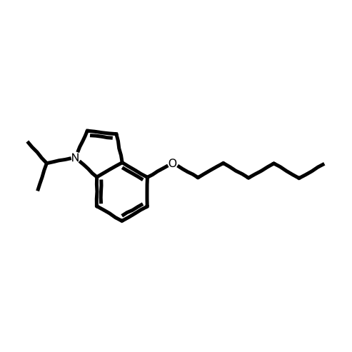 CCCCCCOc1cccc2c1ccn2C(C)C